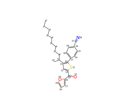 CCCCCCCCCC(C)c1cc(C(=O)c2ccco2)sc1-c1ccc(C#N)cc1